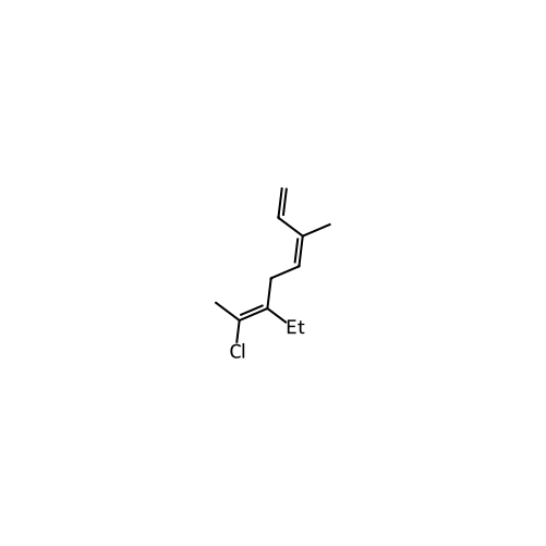 C=C/C(C)=C\C/C(CC)=C(\C)Cl